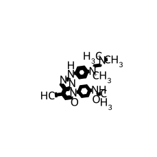 C#Cc1cc(=O)n(C2CCC(NC(C)=O)CC2)c2nc(Nc3ccc(N(C)CCN(C)C)cc3)ncc12